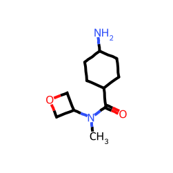 CN(C(=O)C1CCC(N)CC1)C1COC1